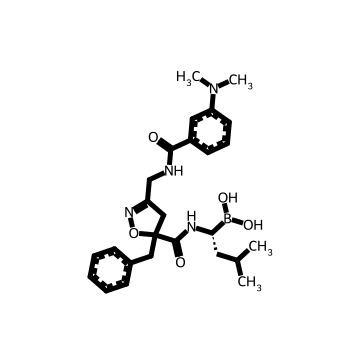 CC(C)C[C@H](NC(=O)C1(Cc2ccccc2)CC(CNC(=O)c2cccc(N(C)C)c2)=NO1)B(O)O